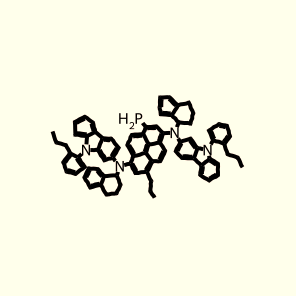 CCCc1ccccc1-n1c2ccccc2c2ccc(N(c3cc(P)c4ccc5c(N(c6ccc7c8ccccc8n(-c8ccccc8CCC)c7c6)C6CCCc7ccccc76)cc(CCC)c6ccc3c4c65)C3CCCc4ccccc43)cc21